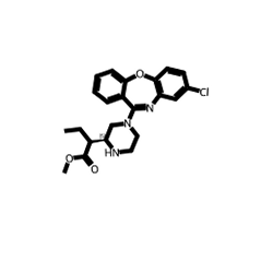 CCC(C(=O)OC)[C@H]1CN(C2=Nc3cc(Cl)ccc3Oc3ccccc32)CCN1